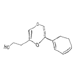 OCCC1=COC=C(C2=CC=CCC2)O1